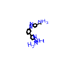 CC(N)c1ccc2c(c1)ncn2-c1cccc(-c2ccc(NN)nc2)c1